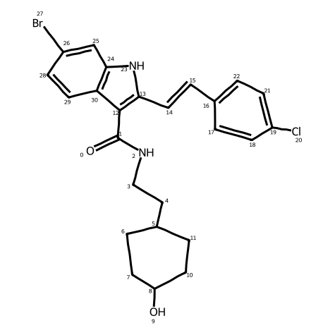 O=C(NCCC1CCC(O)CC1)c1c(C=Cc2ccc(Cl)cc2)[nH]c2cc(Br)ccc12